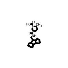 C[C@@H]1CC[C@@H](C(=S)NCC2c3ccccc3-c3ccccc32)CN1C(=O)O